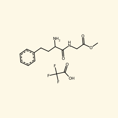 COC(=O)CNC(=O)C(N)CCc1ccccc1.O=C(O)C(F)(F)F